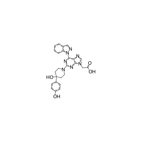 O=C(O)Cn1cnc2c(-n3ncc4ccccc43)nc(N3CCC(O)(c4ccc(O)cc4)CC3)nc21